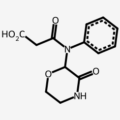 O=C(O)CC(=O)N(c1ccccc1)C1OCCNC1=O